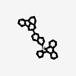 c1ccc2c(c1)-c1cccc3cc(-c4ccc5cc(-n6c7ccccc7c7c8ccccc8c8ccccc8c76)ccc5c4)cc-2c13